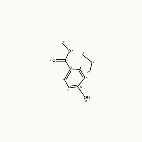 CCC.COC(=O)c1ccc(O)cc1